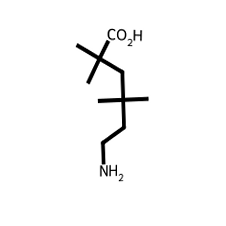 CC(C)(CCN)CC(C)(C)C(=O)O